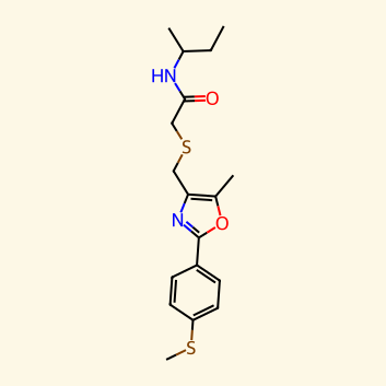 CCC(C)NC(=O)CSCc1nc(-c2ccc(SC)cc2)oc1C